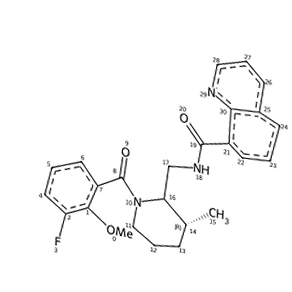 COc1c(F)cccc1C(=O)N1CCC[C@@H](C)C1CNC(=O)c1cccc2cccnc12